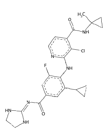 CC1(NC(=O)c2ccnc(Nc3c(F)cc(C(=O)N=C4NCCN4)cc3C3CC3)c2Cl)CC1